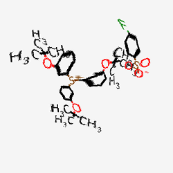 CC(C)(C)Oc1cccc([S+](c2cccc(OC(C)(C)C)c2)c2cccc(OC(C)(C)C)c2)c1.O=S(=O)([O-])c1ccc(F)cc1